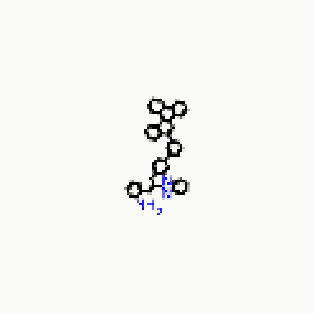 Nc1ccccc1/C=C1\Cc2ccc(-c3cccc(-c4cc5c6ccccc6c6ccccc6c5c5ccccc45)c3)cc2-n2c1nc1ccccc12